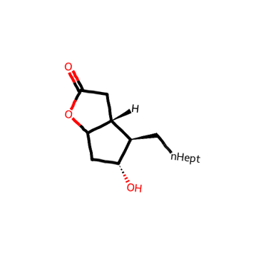 CCCCCCCC[C@H]1[C@H](O)CC2OC(=O)C[C@@H]21